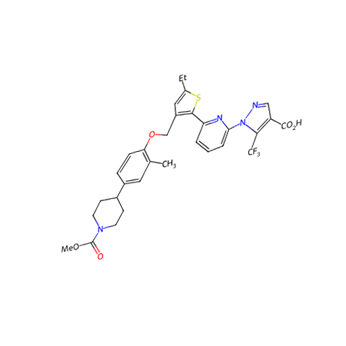 CCc1cc(COc2ccc(C3CCN(C(=O)OC)CC3)cc2C)c(-c2cccc(-n3ncc(C(=O)O)c3C(F)(F)F)n2)s1